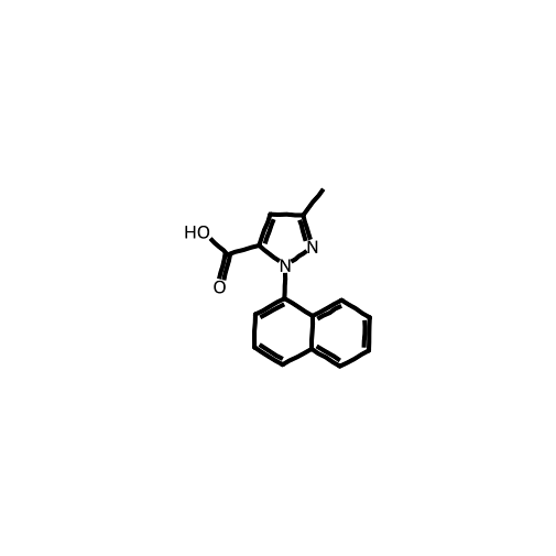 Cc1cc(C(=O)O)n(-c2cccc3ccccc23)n1